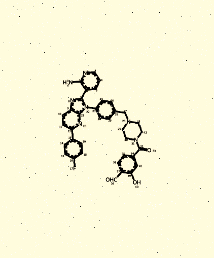 Nc1ncccc1-c1nc2ccc(-c3ccc(F)cc3)nc2n1-c1ccc(CN2CCN(C(=O)c3ccc(C=O)c(O)c3)CC2)cc1